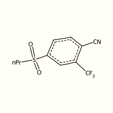 CCCS(=O)(=O)c1ccc(C#N)c(C(F)(F)F)c1